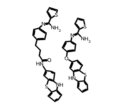 NC(=Nc1ccc(CCCC(=O)Nc2ccc3c(c2)Sc2ccccc2N3)cc1)c1cccs1.NC(=Nc1ccc(Oc2ccc3c(c2)Nc2ccccc2S3)cc1)c1cccs1